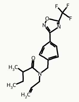 C=CCN(Cc1ccc(-c2noc(C(F)(F)F)n2)cc1)C(=O)C(C)CC